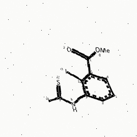 COC(=O)c1cccc(NC(C)=S)c1I